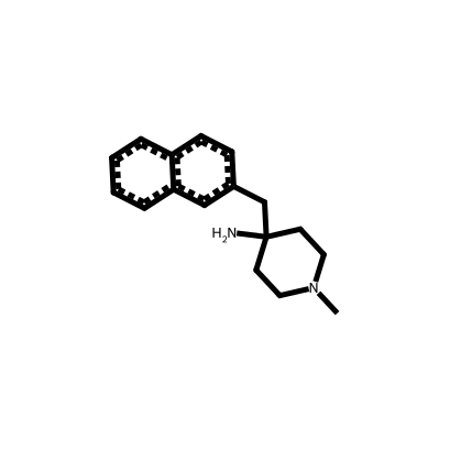 CN1CCC(N)(Cc2ccc3ccccc3c2)CC1